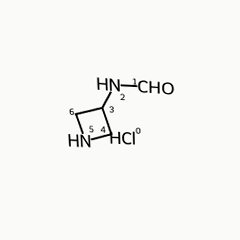 Cl.O=CNC1CNC1